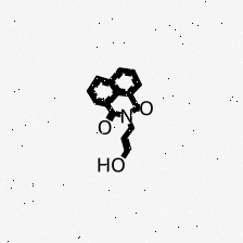 O=C1c2cccc3cccc(c23)C(=O)N1CC=CO